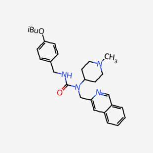 CC(C)COc1ccc(CNC(=O)N(Cc2cc3ccccc3cn2)C2CCN(C)CC2)cc1